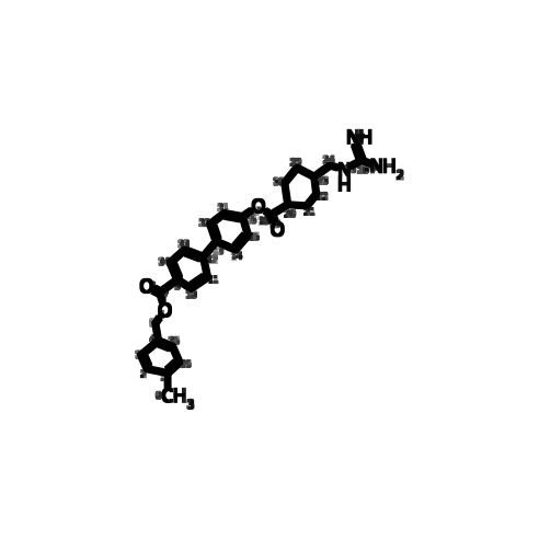 Cc1ccc(COC(=O)c2ccc(-c3ccc(OC(=O)C4CCC(CNC(=N)N)CC4)cc3)cc2)cc1